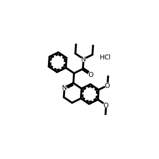 CCN(CC)C(=O)C(C1=NCCc2cc(OC)c(OC)cc21)c1ccccc1.Cl